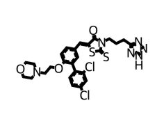 O=C1C(=Cc2ccc(OCCN3CCOCC3)c(-c3ccc(Cl)cc3Cl)c2)SC(=S)N1CCCc1nn[nH]n1